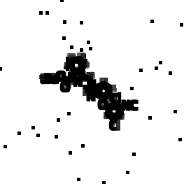 [C-]#[N+]c1cc(Cl)cc(Oc2c(Cl)ccc3c2nnn3Cc2nn(C(=O)OC(C)(C)C)c3ncccc23)c1